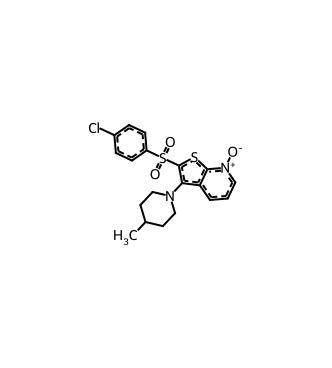 CC1CCN(c2c(S(=O)(=O)c3ccc(Cl)cc3)sc3c2ccc[n+]3[O-])CC1